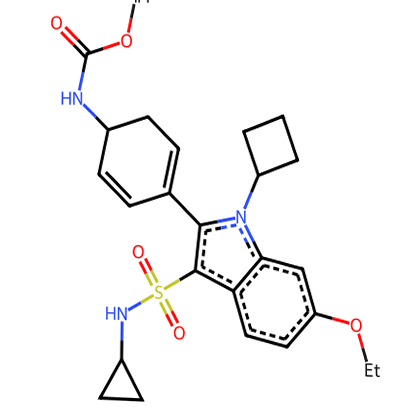 CCOc1ccc2c(S(=O)(=O)NC3CC3)c(C3=CCC(NC(=O)OC(C)C)C=C3)n(C3CCC3)c2c1